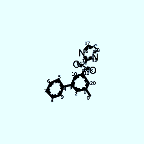 Cc1cc(-c2ccccc2)cc(S(=O)(=O)c2ncsn2)c1